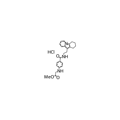 COC(=O)CNc1ccc(C(=O)NCCc2c3c(n4ccccc24)CCCC3)cc1.Cl